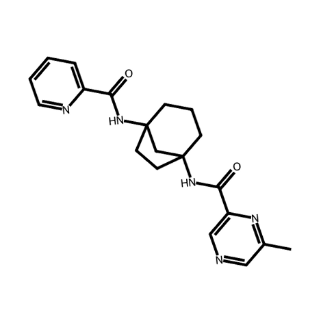 Cc1cncc(C(=O)NC23CCCC(NC(=O)c4ccccn4)(CC2)C3)n1